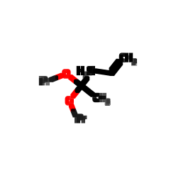 C=C[SiH2]C(C)(OC(C)C)OC(C)C